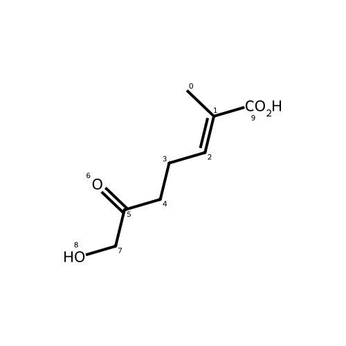 CC(=CCCC(=O)CO)C(=O)O